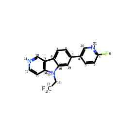 Fc1ccc(-c2ccc3c4cnccc4n(CC(F)(F)F)c3c2)cn1